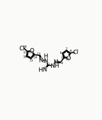 N=C(N/N=C/c1ccc(Cl)o1)N/N=C/c1ccc(Cl)o1